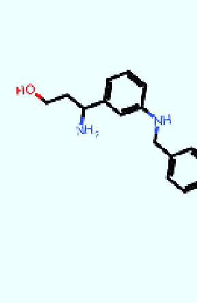 NC(CCO)c1cccc(NCc2ccccc2)c1